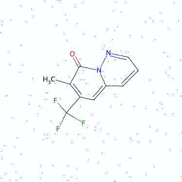 Cc1c(C(F)(F)F)cc2cccnn2c1=O